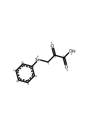 O=C(O)C(=O)C[Se]c1ccccc1